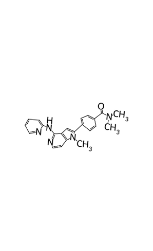 CN(C)C(=O)c1ccc(-c2cc3c(Nc4ccccn4)nccc3n2C)cc1